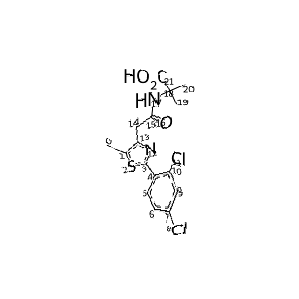 Cc1sc(-c2ccc(Cl)cc2Cl)nc1CC(=O)NC(C)(C)C(=O)O